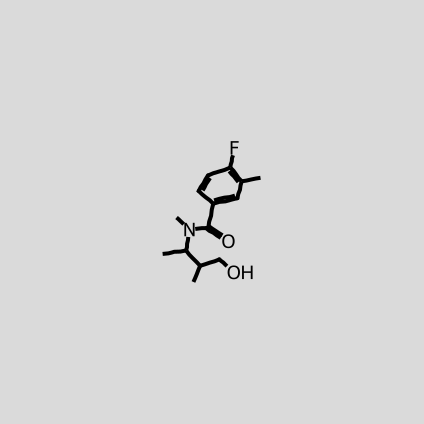 Cc1cc(C(=O)N(C)C(C)C(C)CO)ccc1F